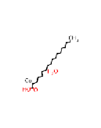 CCCCCCCCCCCCCCCC[CH]([Co])C(=O)O.O